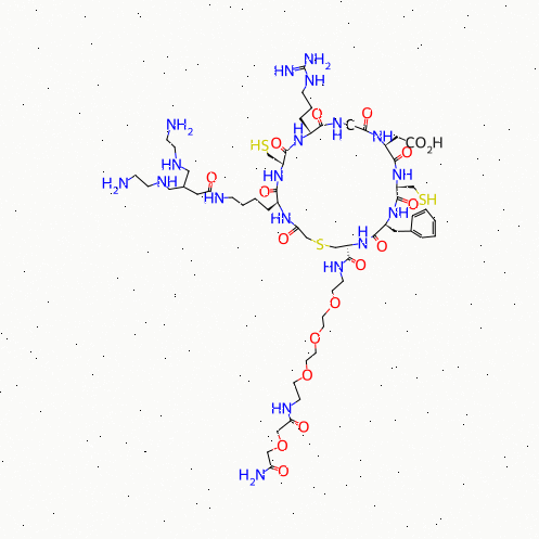 N=C(N)NCCC[C@@H]1NC(=O)[C@H](CS)NC(=O)[C@H](CCCCNC(=O)CC(CNCCN)CNCCN)NC(=O)CSC[C@@H](C(=O)NCCOCCOCCOCCNC(=O)COCC(N)=O)NC(=O)[C@H](Cc2ccccc2)NC(=O)[C@H](CS)NC(=O)[C@H](CC(=O)O)NC(=O)CNC1=O